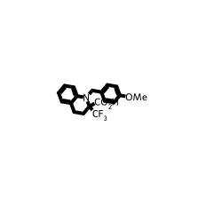 COc1ccc(CN2c3ccccc3CCC2(C(=O)O)C(F)(F)F)cc1